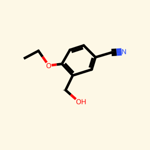 CCOc1ccc(C#N)cc1[CH]O